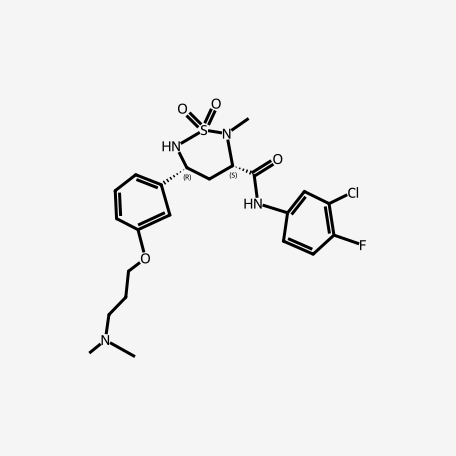 CN(C)CCCOc1cccc([C@H]2C[C@@H](C(=O)Nc3ccc(F)c(Cl)c3)N(C)S(=O)(=O)N2)c1